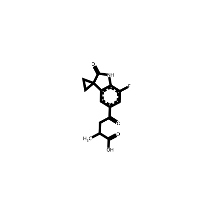 CC(CC(=O)c1cc(F)c2c(c1)C1(CC1)C(=O)N2)C(=O)O